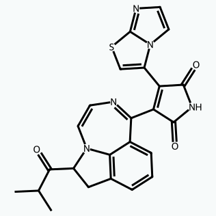 CC(C)C(=O)C1Cc2cccc3c2N1C=CN=C3C1=C(c2csc3nccn23)C(=O)NC1=O